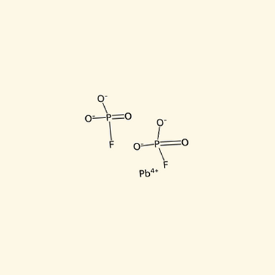 O=P([O-])([O-])F.O=P([O-])([O-])F.[Pb+4]